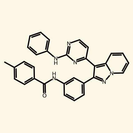 Cc1ccc(C(=O)Nc2cccc(-c3nn4ccccc4c3-c3ccnc(Nc4ccccc4)n3)c2)cc1